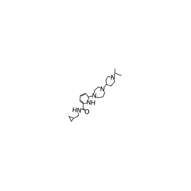 CC(C)N1CCC(N2CCCN(C3C=CC=C(C(=O)NCC4CC4)N3)CC2)CC1